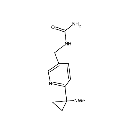 CNC1(c2ccc(CNC(N)=O)cn2)CC1